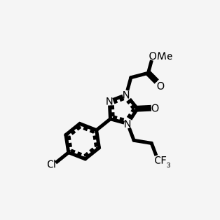 COC(=O)Cn1nc(-c2ccc(Cl)cc2)n(CCC(F)(F)F)c1=O